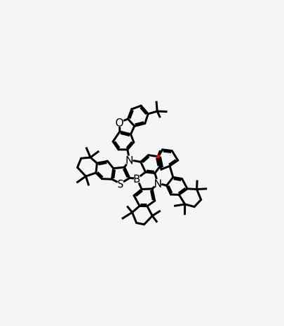 Cc1cc2c3c(c1)N(c1ccc4oc5ccc(C(C)(C)C)cc5c4c1)c1c(sc4cc5c(cc14)C(C)(C)CCC5(C)C)B3c1cc3c(cc1N2c1cc2c(cc1-c1ccccc1)C(C)(C)CCC2(C)C)C(C)(C)CCC3(C)C